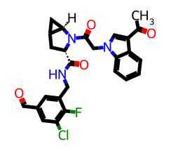 CC(=O)c1cn(CC(=O)N2[C@@H]3CC3C[C@H]2C(=O)NCc2cc(C=O)cc(Cl)c2F)c2ccccc12